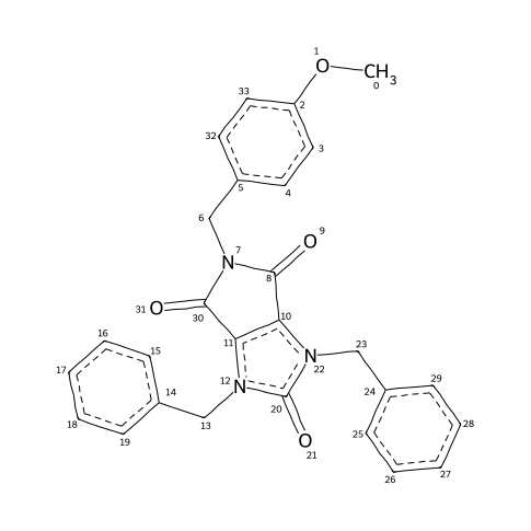 COc1ccc(CN2C(=O)c3c(n(Cc4ccccc4)c(=O)n3Cc3ccccc3)C2=O)cc1